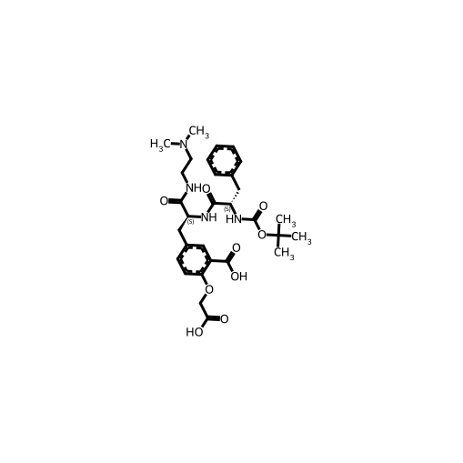 CN(C)CCNC(=O)[C@H](Cc1ccc(OCC(=O)O)c(C(=O)O)c1)NC(=O)[C@H](Cc1ccccc1)NC(=O)OC(C)(C)C